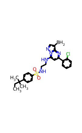 Bc1cnn2c(NCCNS(=O)(=O)c3ccc(C(C)(C)CC)cc3)cc(-c3ccccc3Cl)nc12